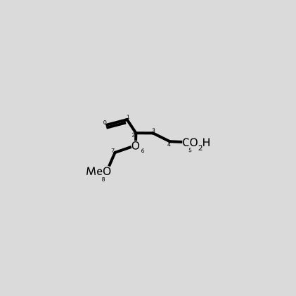 C=CC(CCC(=O)O)OCOC